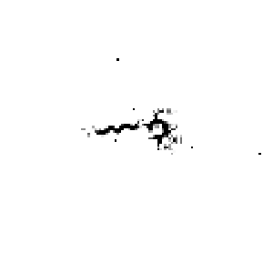 CC(=O)N[C@H]1C2O[C@]2(O)C(C)O[C@H]1OCCCCCN